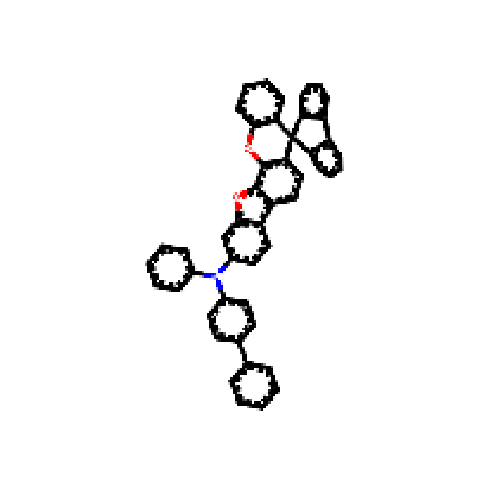 c1ccc(-c2ccc(N(c3ccccc3)c3ccc4c(c3)oc3c5c(ccc34)C3(c4ccccc4O5)c4ccccc4-c4ccccc43)cc2)cc1